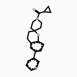 O=C(C1CC1)N1CCC2(CCc3cc(-c4cccnc4)ccc3O2)CC1